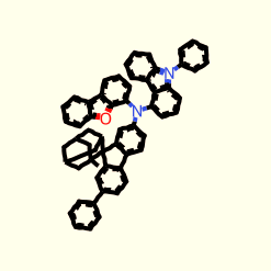 CC12CC3CC(CC(C3)C13c1cc(-c4ccccc4)ccc1-c1ccc(N(c4cccc5c4oc4ccccc45)c4cccc5c4c4ccccc4n5-c4ccccc4)cc13)C2